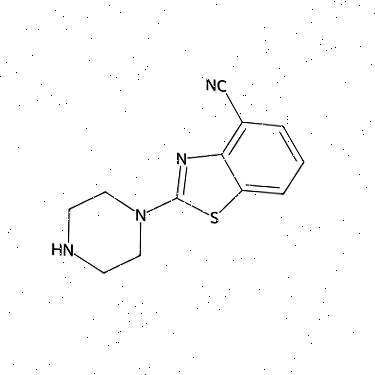 N#Cc1cccc2sc(N3CCNCC3)nc12